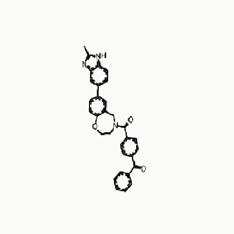 Cc1nc2cc(-c3ccc4c(c3)CN(C(=O)c3ccc(C(=O)c5ccccc5)cc3)CCO4)ccc2[nH]1